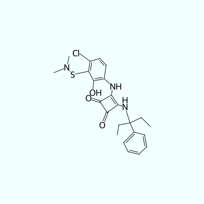 CCC(CC)(Nc1c(Nc2ccc(Cl)c(SN(C)C)c2O)c(=O)c1=O)c1ccccc1